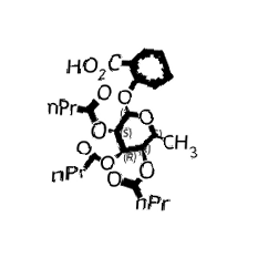 CCCC(=O)O[C@H]1[C@H](OC(=O)CCC)[C@H](Oc2ccccc2C(=O)O)O[C@@H](C)[C@H]1OC(=O)CCC